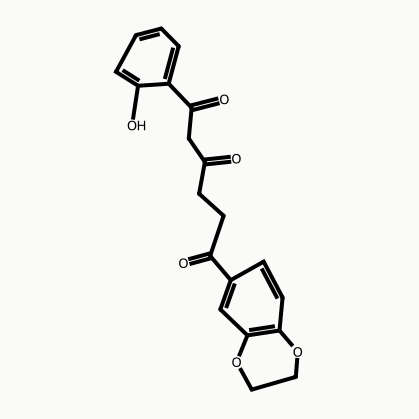 O=C(CCC(=O)c1ccc2c(c1)OCCO2)CC(=O)c1ccccc1O